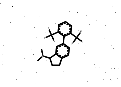 CN(C)C1CCc2ccc(-c3c(C(F)(F)F)cccc3C(F)(F)F)cc21